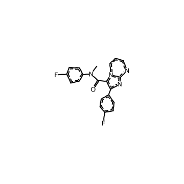 CN(C(=O)c1c(-c2ccc(F)cc2)nc2ncccn12)c1ccc(F)cc1